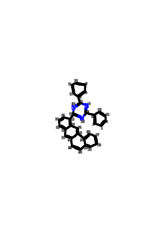 c1ccc(-c2nc(-c3ccccc3)nc(-c3cccc4cc5ccc6ccccc6c5cc34)n2)cc1